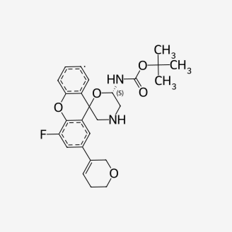 CC(C)(C)OC(=O)N[C@@H]1CNCC2(O1)c1c[c]ccc1Oc1c(F)cc(C3=CCCOC3)cc12